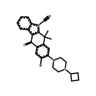 CC1(C)c2cc(N3CCN(C4CCC4)CC3)c(Br)cc2C(=O)c2c1n(C#N)c1ccccc21